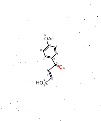 CC(=O)Oc1ccc(C(=O)/C=C/C(=O)O)cc1